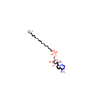 N#CC1(c2ccc3c(N)ncnn23)O[C@H](COP(=O)(O)OCCCCCCCCCCCCCCCC(=O)O)[C@@H](O)[C@H]1O